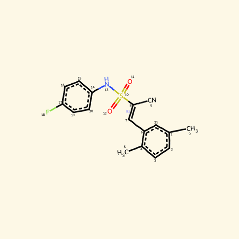 Cc1ccc(C)c(/C=C(\C#N)S(=O)(=O)Nc2ccc(F)cc2)c1